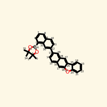 CC1(C)OB(c2cccc3ccc(-c4ccc5cc6oc7ccccc7c6cc5c4)cc23)OC1(C)C